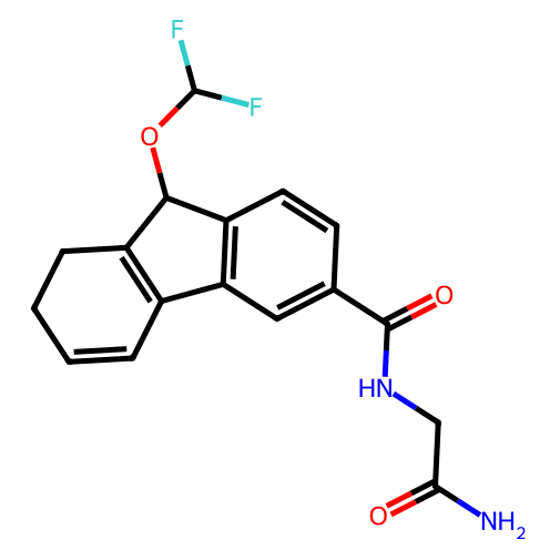 NC(=O)CNC(=O)c1ccc2c(c1)C1=C(CCC=C1)C2OC(F)F